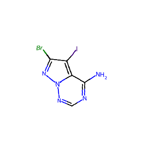 Nc1ncnn2nc(Br)c(I)c12